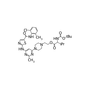 Cc1nc(Nc2ncc(C(=O)Nc3c(C)cccc3Cl)s2)cc(N2CCN(CCOC(=O)C(NC(=O)OC(C)(C)C)C(C)C)CC2)n1